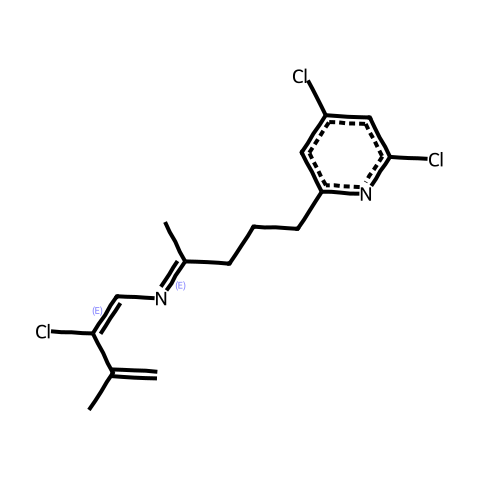 C=C(C)/C(Cl)=C\N=C(/C)CCCc1cc(Cl)cc(Cl)n1